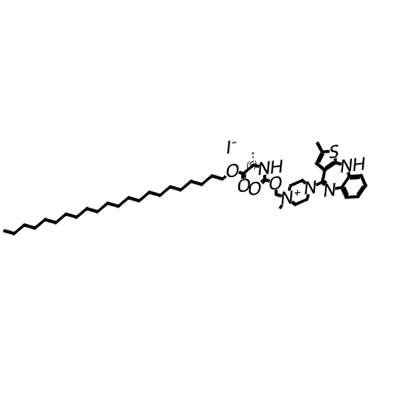 CCCCCCCCCCCCCCCCCCCCCCOC(=O)[C@H](C)NC(=O)OC[N+]1(C)CCN(C2=Nc3ccccc3Nc3sc(C)cc32)CC1.[I-]